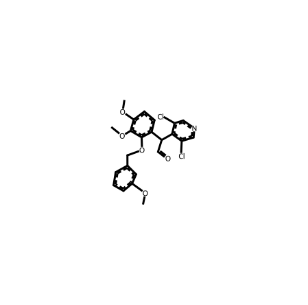 COc1cccc(COc2c(C(C=O)c3c(Cl)cncc3Cl)ccc(OC)c2OC)c1